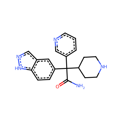 NC(=O)C(c1cccnc1)(c1ccc2[nH]ncc2c1)C1CCNCC1